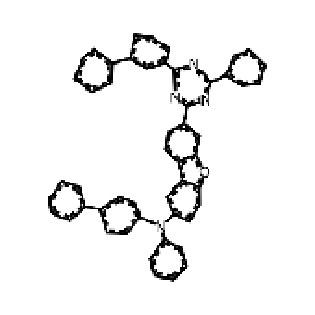 c1ccc(-c2ccc(N(c3ccccc3)c3ccc4oc5cc(-c6nc(-c7ccccc7)nc(-c7cccc(-c8ccccc8)c7)n6)ccc5c4c3)cc2)cc1